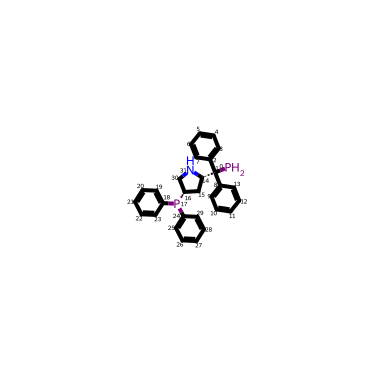 PC(c1ccccc1)(c1ccccc1)[C@@H]1C[C@H](P(c2ccccc2)c2ccccc2)CN1